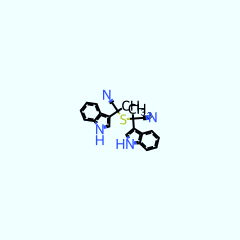 CC(C#N)(SC(C)(C#N)c1c[nH]c2ccccc12)c1c[nH]c2ccccc12